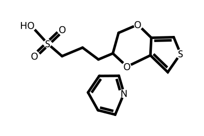 O=S(=O)(O)CCCC1COc2cscc2O1.c1ccncc1